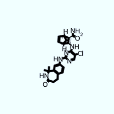 CC1(C)NC(=O)CCc2ccc(Nc3ncc(Cl)c(N[C@@H]4[C@H](C(N)=O)[C@H]5C=C[C@@H]4C5)n3)cc21